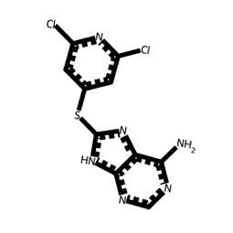 Nc1ncnc2[nH]c(Sc3cc(Cl)nc(Cl)c3)nc12